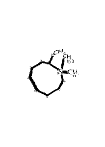 CC1CCCCCCC[Si]1(C)C